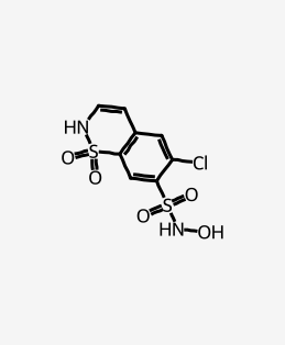 O=S(=O)(NO)c1cc2c(cc1Cl)C=CNS2(=O)=O